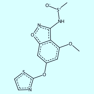 COc1cc(Oc2nccs2)cc2onc(N[S+](C)[O-])c12